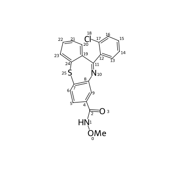 CONC(=O)c1ccc2c(c1)N=C(c1ccccc1Cl)c1ccccc1S2